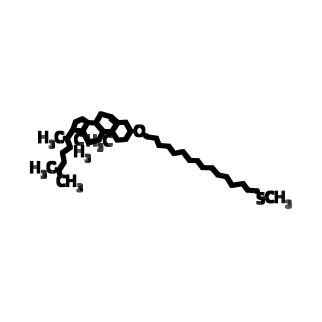 CSCCCCCCCCCCCCCCCCO[C@H]1CCC2(C)C(=CCC3C2CCC2(C)C(C(C)CCCC(C)C)CCC32)C1